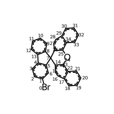 Brc1ccc2c(c1)C1(c3ccccc3-2)c2ccc3ccccc3c2Oc2c1ccc1ccccc21